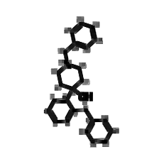 OC1(c2ccccc2Cc2ccccc2)CCN(Cc2ccccc2)CC1